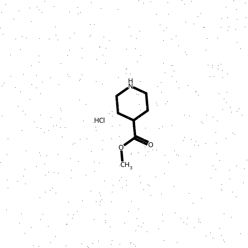 COC(=O)C1CCNCC1.Cl